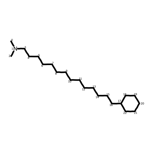 CN(C)CCCCCCCCCCCCCCC1CCCCC1